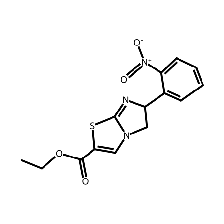 CCOC(=O)C1=CN2CC(c3ccccc3[N+](=O)[O-])N=C2S1